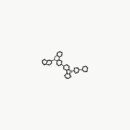 c1ccc(-c2ccc(-n3c4ccccc4c4cc(-c5ccc6c(c5)-c5ccccc5CC6c5ccc6ccccc6c5)ccc43)cc2)cc1